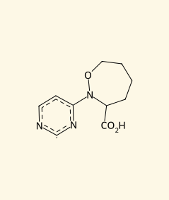 O=C(O)C1CCCCON1c1ccn[c]n1